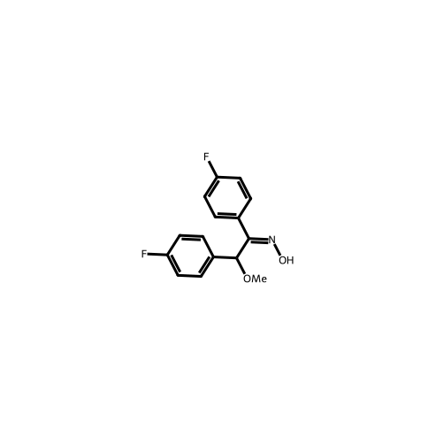 COC(C(=NO)c1ccc(F)cc1)c1ccc(F)cc1